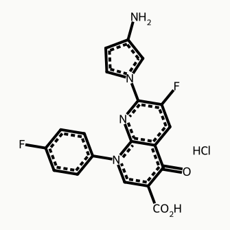 Cl.Nc1ccn(-c2nc3c(cc2F)c(=O)c(C(=O)O)cn3-c2ccc(F)cc2)c1